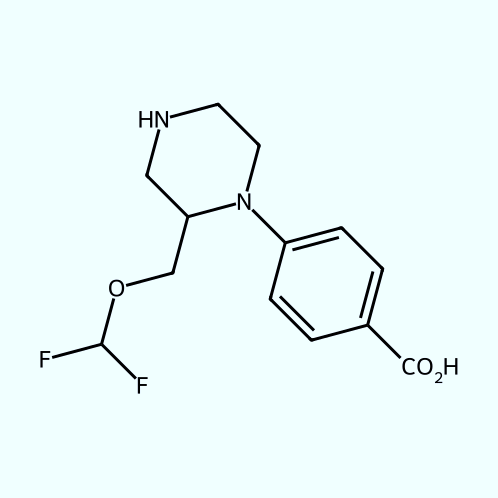 O=C(O)c1ccc(N2CCNCC2COC(F)F)cc1